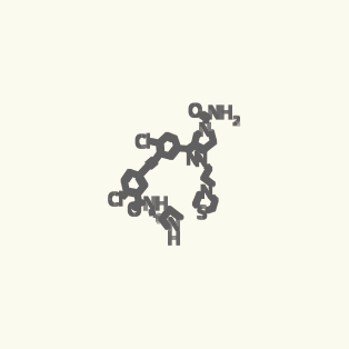 NC(=O)N1CCc2c(c(-c3ccc(Cl)c(C#Cc4ccc(Cl)c(C(=O)NC[C@@H]5CCNC5)c4)c3)nn2CCCN2CCSCC2)C1